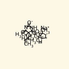 CC1(C)C(O)[C@@]2(C)CC[C@@H]1C2.CCCC(C)C1(CC)C(=O)N=C([O-])NC1=O.[Na+]